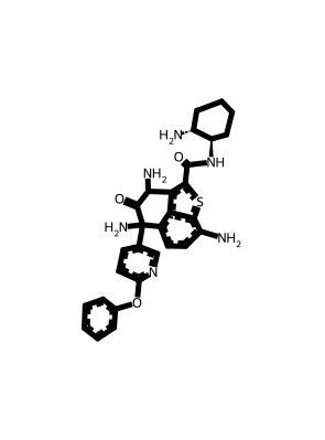 Nc1ccc2c3c(c(C(=O)N[C@@H]4CCCC[C@H]4N)sc13)C(N)C(=O)C2(N)c1ccc(Oc2ccccc2)nc1